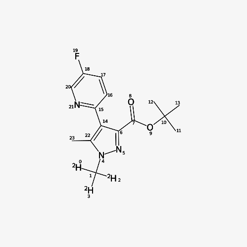 [2H]C([2H])([2H])n1nc(C(=O)OC(C)(C)C)c(-c2ccc(F)cn2)c1C